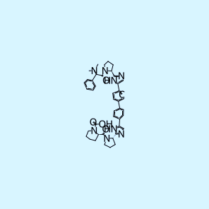 CN(C)[C@@H](C(=O)N1CCC[C@H]1c1ncc(-c2ccc(-c3ccc(-c4cnc([C@@H]5CCCN5C(=O)[C@H]5CCCCN5C(=O)O)[nH]4)cc3)cc2)[nH]1)c1ccccc1